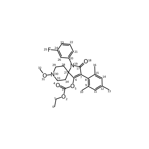 CCOC(=O)OC1=C(c2c(C)cc(C)cc2C)C(=O)N(c2cccc(F)c2)C12CCN(OC)CC2